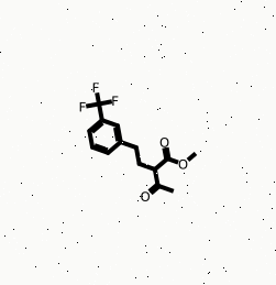 COC(=O)C(CCc1cccc(C(F)(F)F)c1)C(C)=O